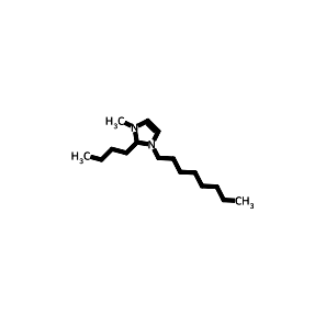 CCCCCCCCN1C=CN(C)C1CCCC